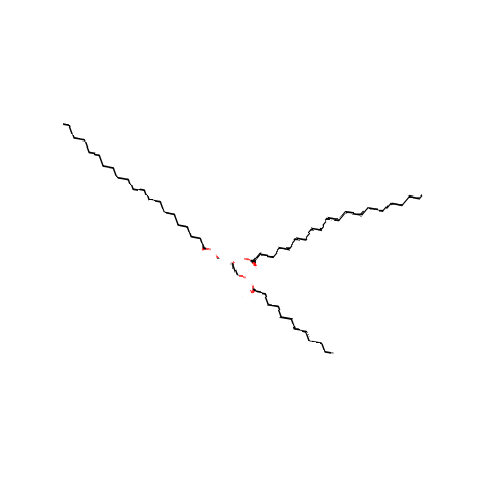 CCCCCCCCCCCCCCCCCCCCC(=O)OC[C@@H](COC(=O)CCCCCCCCCCC)OC(=O)CCCCCCCCCCCCCCCCCCC